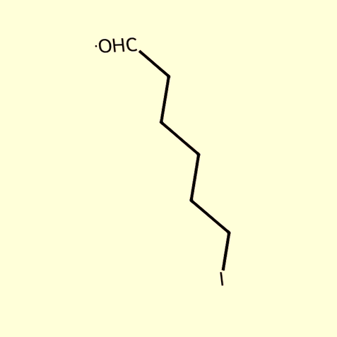 O=[C]CCCCCI